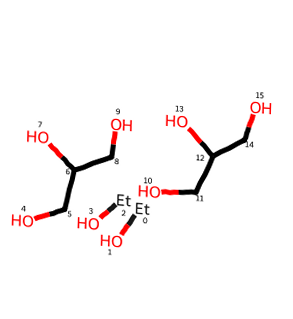 CCO.CCO.OCC(O)CO.OCC(O)CO